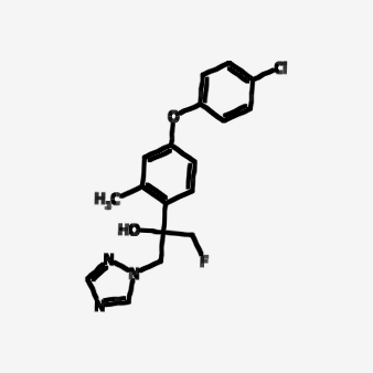 Cc1cc(Oc2ccc(Cl)cc2)ccc1C(O)(CF)Cn1cncn1